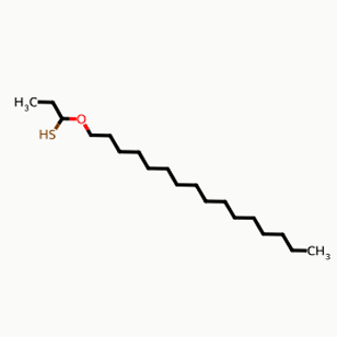 CCCCCCCCCCCCCCCCOC(S)CC